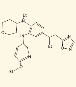 CCOc1ncc(Nc2cc(C(CC)Cc3ncno3)ccc2N(CC)C2CCOCC2)cn1